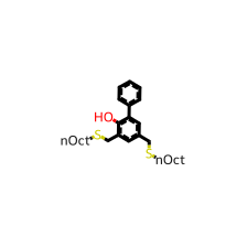 CCCCCCCCSCc1cc(CSCCCCCCCC)c(O)c(-c2ccccc2)c1